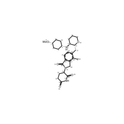 CO[C@H]1CC[C@@H](N[C@H]2CCCO[C@@H]2Cc2ccc3c(c2F)CN(C2CCC(=O)NC2=O)C3=O)CC1